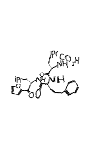 CC(C)C[C@H](NC(=O)O)C(=O)N[C@@H](Cc1ccccc1)C(=O)N[C@@H](CC(C)C)C(=O)c1ccco1